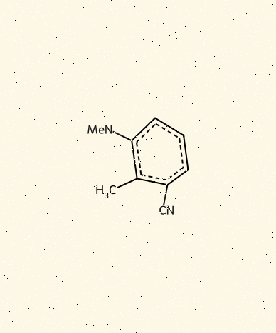 CNc1cccc(C#N)c1C